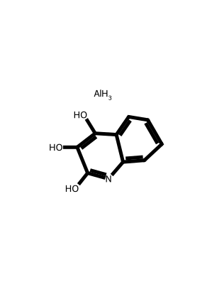 Oc1nc2ccccc2c(O)c1O.[AlH3]